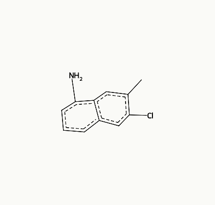 Cc1cc2c(N)cccc2cc1Cl